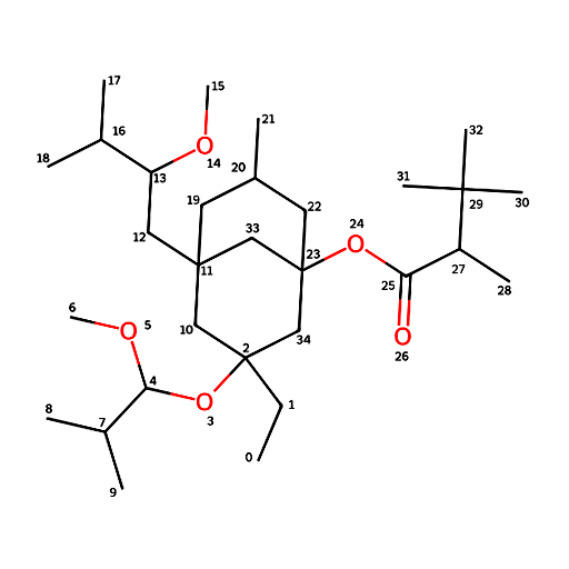 CCC1(OC(OC)C(C)C)CC2(CC(OC)C(C)C)CC(C)CC(OC(=O)C(C)C(C)(C)C)(C2)C1